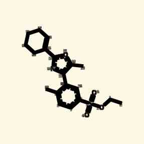 CCOS(=O)(=O)c1ccc(C)c(-c2nc(C3=CCCCC3)oc2C)c1